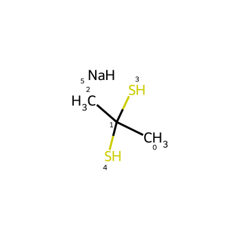 CC(C)(S)S.[NaH]